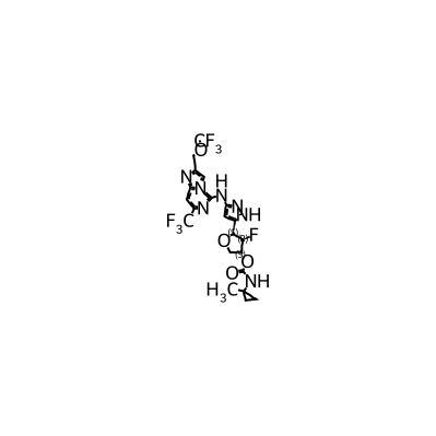 CC1(NC(=O)O[C@H]2CO[C@@H](c3cc(Nc4nc(C(F)(F)F)cc5nc(COC(F)(F)F)cn45)n[nH]3)[C@H]2F)CC1